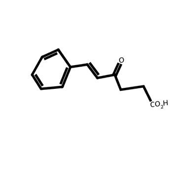 O=C(O)CCC(=O)C=Cc1ccccc1